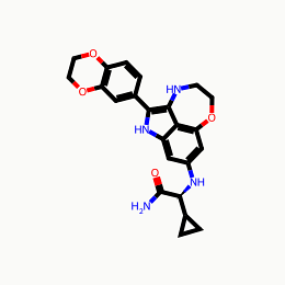 NC(=O)[C@@H](Nc1cc2c3c(c(-c4ccc5c(c4)OCCO5)[nH]c3c1)NCCO2)C1CC1